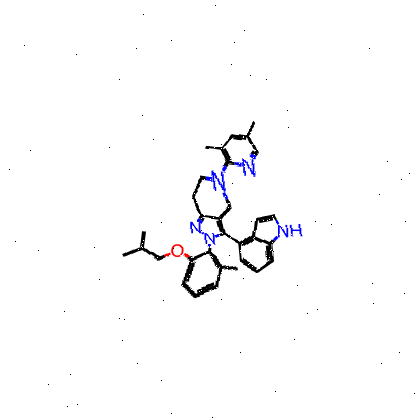 Cc1cnc(N2CCc3nn(-c4c(C)cccc4OCC(C)C)c(-c4cccc5[nH]ccc45)c3C2)c(C)c1